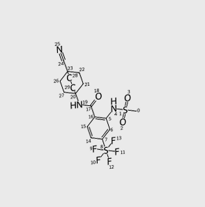 CS(=O)(=O)Nc1cc(S(F)(F)(F)(F)F)ccc1C(=O)NC12CCC(C#N)(CC1)CC2